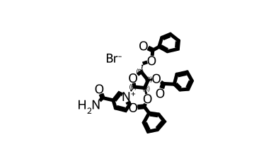 NC(=O)c1ccc[n+]([C@@H]2O[C@H](COC(=O)c3ccccc3)[C@@H](OC(=O)c3ccccc3)[C@H]2OC(=O)c2ccccc2)c1.[Br-]